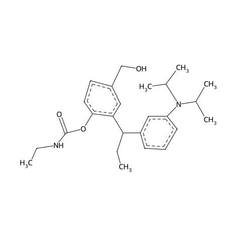 CCNC(=O)Oc1ccc(CO)cc1C(CC)c1cccc(N(C(C)C)C(C)C)c1